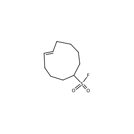 O=S(=O)(F)C1CCC/C=C/CCCC1